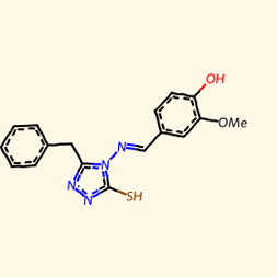 COc1cc(C=Nn2c(S)nnc2Cc2ccccc2)ccc1O